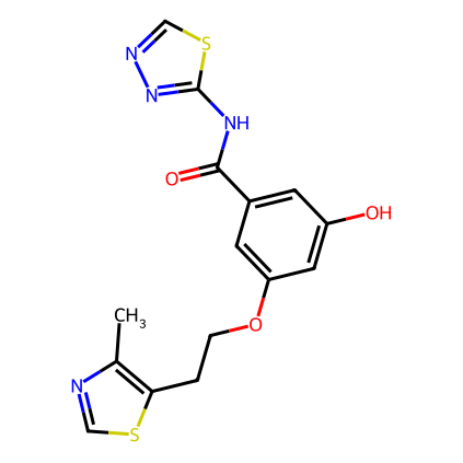 Cc1ncsc1CCOc1cc(O)cc(C(=O)Nc2nncs2)c1